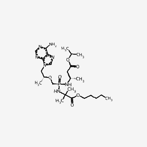 CCCCCOC(=O)C(C)(C)N[P@@](=O)(CO[C@H](C)Cn1cnc2c(N)ncnc21)N[C@@H](C)CC(=O)OC(C)C